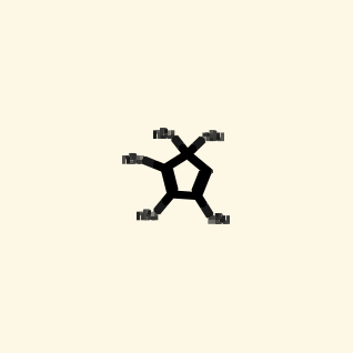 CCCCC1=[C]C(CCCC)(CCCC)C(CCCC)=C1CCCC